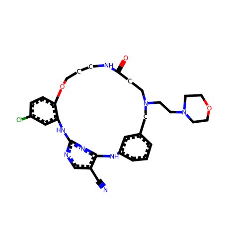 N#Cc1cnc2nc1Nc1cccc(c1)CN(CCN1CCOCC1)CCC(=O)NCCCOc1ccc(Cl)cc1N2